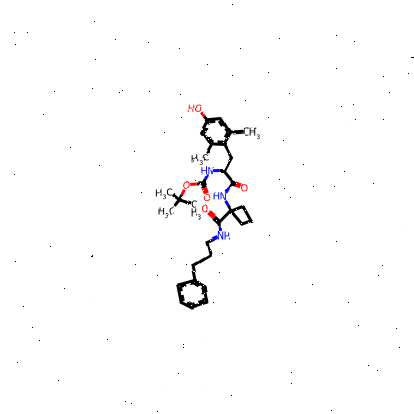 Cc1cc(O)cc(C)c1CC(NC(=O)OC(C)(C)C)C(=O)NC1(C(=O)NCCCc2ccccc2)CCC1